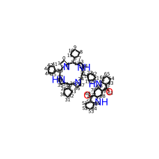 C1=Cc2nc1c(-c1ccccc1)c1ccc([nH]1)c(-c1ccccc1)c1nc(c(-c3ccccc3)c3ccc([nH]3)c2-c2ccccc2)C=C1.O=c1c2ccccc2[nH]c2cc3c(=O)c4ccccc4[nH]c3cc12